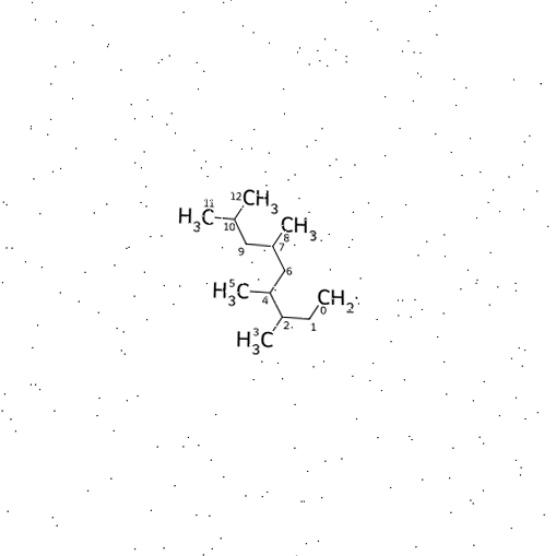 [CH2]CC(C)C(C)CC(C)CC(C)C